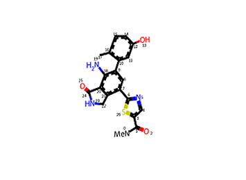 CNC(=O)c1cnc(-c2cc(-c3cc(O)ccc3C)c(N)c3c2CNC3=O)s1